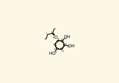 CCC(C)=O.Oc1ccc(O)c(O)c1